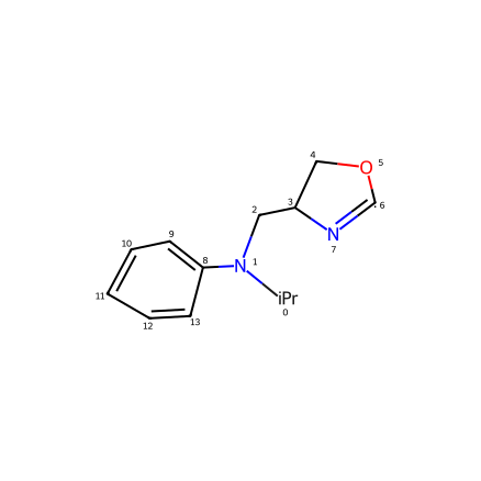 CC(C)N(CC1CO[C]=N1)c1ccccc1